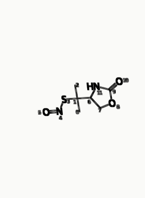 CC(C)(SN=O)C1COC(=O)N1